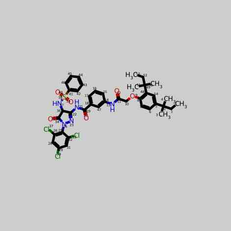 CCC(C)(C)c1ccc(OCC(=O)Nc2cccc(C(=O)NC3=NN(c4c(Cl)cc(Cl)cc4Cl)C(=O)C3NS(=O)(=O)c3ccccc3)c2)c(C(C)(C)CC)c1